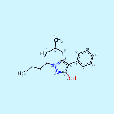 CCCCn1nc(O)c(-c2ccccc2)c1CC(C)C